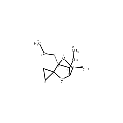 COC[C@@]12O[C@@H](C)C(OC13CC3)C2OC